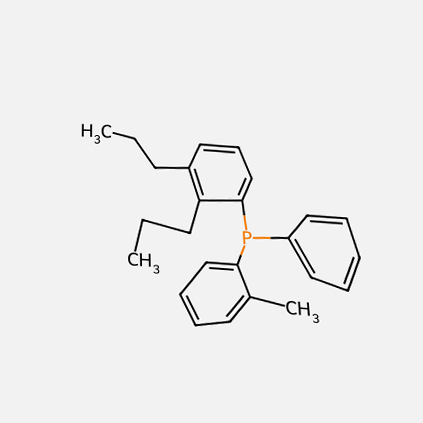 CCCc1cccc(P(c2ccccc2)c2ccccc2C)c1CCC